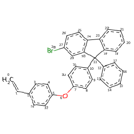 C=Cc1ccc(Oc2ccc(C3(c4ccccc4)c4ccccc4-c4ccc(Br)cc43)cc2)cc1